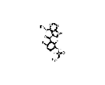 CC(C)Nc1ncnc2[nH]cc(C(=O)c3c(F)ccc(NS(=O)(=O)CC(F)(F)F)c3F)c12